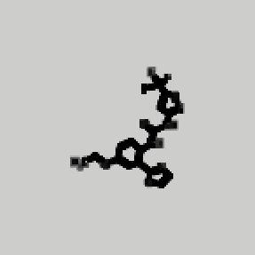 CCOc1ccc(NC(=O)Nc2cc(C(F)(F)F)on2)c(-c2ncco2)c1